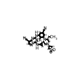 CC[C@H]1CN(C2CS(=O)(=O)C2)CCN1c1cc(C#N)cc(Nc2nc(NC3CC3)n3ncc(C#N)c3n2)c1Cl